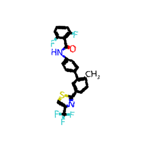 Cc1ccc(-c2nc(C(F)(F)F)cs2)cc1-c1ccc(NC(=O)c2c(F)cccc2F)cc1